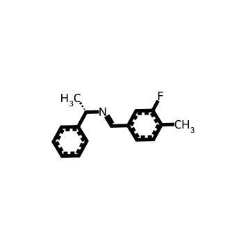 Cc1ccc(/C=N/[C@@H](C)c2ccccc2)cc1F